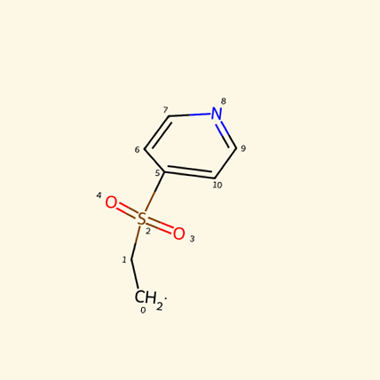 [CH2]CS(=O)(=O)c1ccncc1